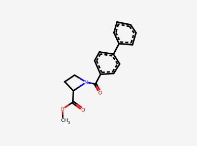 COC(=O)C1CCN1C(=O)c1ccc(-c2ccccc2)cc1